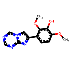 COc1ccc(-c2cn3cncnc3n2)c(OC)c1O